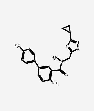 Nc1ccc(-c2ccc(C(F)(F)F)cc2)cc1C(=O)N(N)Cc1nc(C2CC2)no1